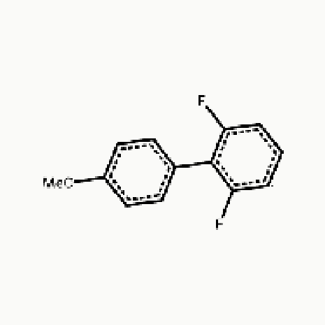 COc1ccc(-c2c(F)[c]ccc2F)cc1